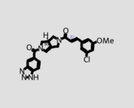 COc1cc(Cl)cc(/C=C/C(=O)N2CC3=CN(C(=O)c4ccc5[nH]nnc5c4)C[C@H]3C2)c1